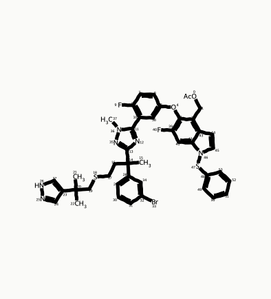 CC(=O)OCc1c(Oc2ccc(F)c(-c3nc(C(C)(CCSCC(C)(C)c4cn[nH]c4)c4cccc(Br)c4)nn3C)c2)c(F)cc2c1ccn2Sc1ccccc1